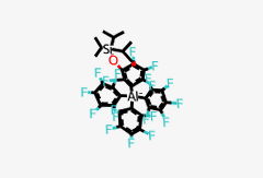 CC(C)[Si](Oc1c(F)c(F)c(F)[c]([Al-]([c]2c(F)c(F)c(F)c(F)c2F)([c]2c(F)c(F)c(F)c(F)c2F)[c]2c(F)c(F)c(F)c(F)c2F)c1F)(C(C)C)C(C)C